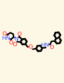 O=C(Cc1cccc2ccccc12)NCc1ccc(COCc2ccc3c(c2)C(=O)N(C2CCC(=O)NC2=O)C3=O)cc1